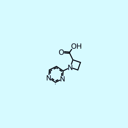 O=C(O)C1CCN1c1ccn[c]n1